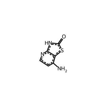 Nc1ccnc2[nH]c(=O)sc12